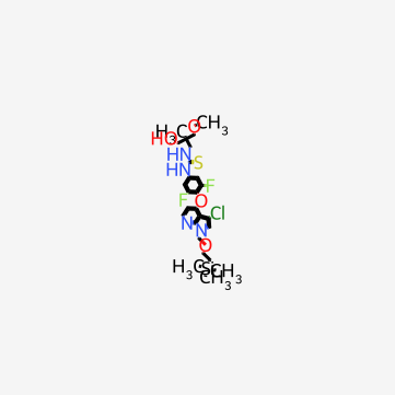 COC[C@@](C)(CO)CNC(=S)Nc1cc(F)c(Oc2ccnc3c2c(Cl)cn3COCC[Si](C)(C)C)c(F)c1